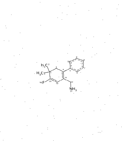 CC1(C)CC(c2ccccc2)=C(CN)C=C1F